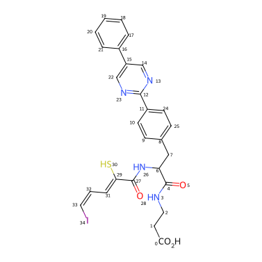 O=C(O)CCNC(=O)C(Cc1ccc(-c2ncc(-c3ccccc3)cn2)cc1)NC(=O)/C(S)=C/C=C\I